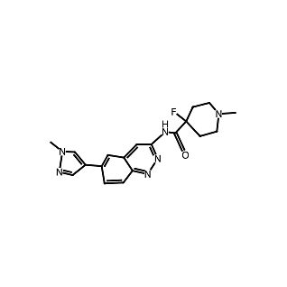 CN1CCC(F)(C(=O)Nc2cc3cc(-c4cnn(C)c4)ccc3nn2)CC1